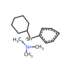 CN(C)C.c1cc[c]([Sn][CH]2CCCCC2)cc1